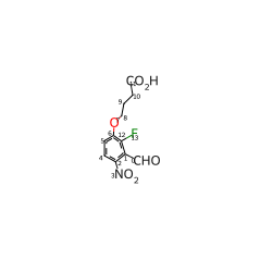 O=Cc1c([N+](=O)[O-])ccc(OCCCC(=O)O)c1F